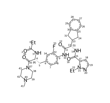 CCC(=O)N[C@H](Cc1ccc(NC(=O)[C@@H](NC(=O)c2ccnn2CC)C2Cc3ccccc3C2)c(F)c1)C(=O)N1CCN(C)CC1